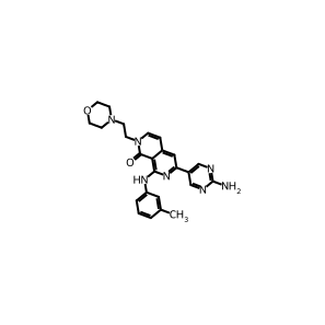 Cc1cccc(Nc2nc(-c3cnc(N)nc3)cc3ccn(CCN4CCOCC4)c(=O)c23)c1